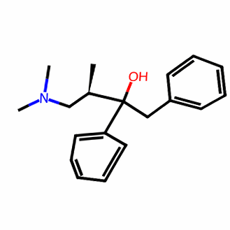 C[C@H](CN(C)C)C(O)(Cc1ccccc1)c1ccccc1